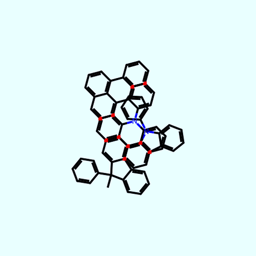 CC1(c2ccccc2)c2ccccc2-c2c(-c3ccccc3N(c3ccccc3-c3cccc4cccc(-c5ccccc5)c34)c3ccccc3-c3cccc4c5ccccc5n(-c5ccccc5)c34)cccc21